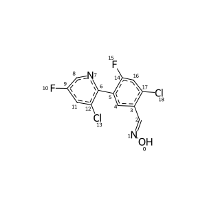 ON=Cc1cc(-c2ncc(F)cc2Cl)c(F)cc1Cl